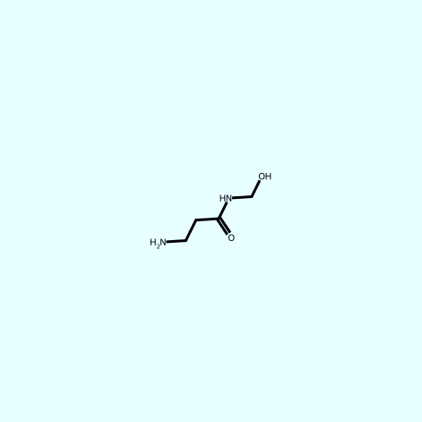 NCCC(=O)NCO